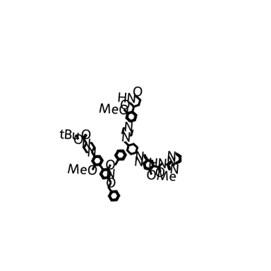 COc1cc(N2CCN(C(=O)OC(C)(C)C)CC2)ccc1-c1ccc(OCc2ccccc2)nc1OCc1ccccc1.COc1cc2nn(C3CCC(CN4CCN(c5ccc(C6CCC(=O)NC6=O)c(OC)c5)CC4)CC3)cc2cc1C(=O)Nc1cnc2cccnn12